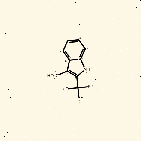 O=C(O)c1c(C(F)(F)C(F)(F)F)[nH]c2ccccc12